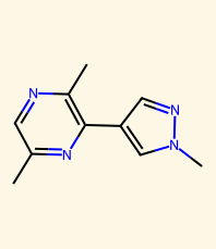 Cc1cnc(C)c(-c2cnn(C)c2)n1